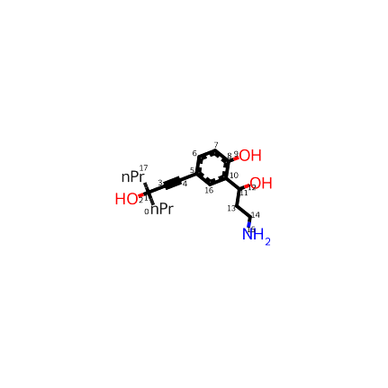 CCCC(O)(C#Cc1ccc(O)c(C(O)CCN)c1)CCC